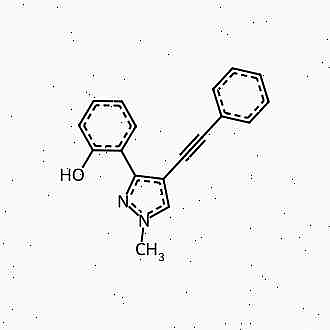 Cn1cc(C#Cc2ccccc2)c(-c2ccccc2O)n1